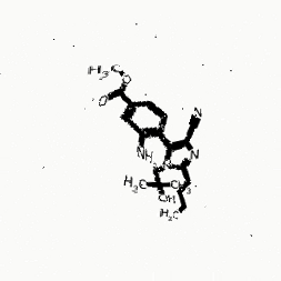 CCCCc1nc(C#N)c(-c2ccc(C(=O)OC)cc2N)n1CC(C)(C)O